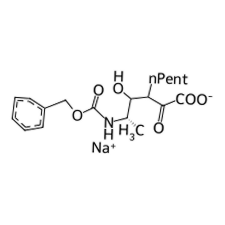 CCCCCC(C(=O)C(=O)[O-])C(O)[C@H](C)NC(=O)OCc1ccccc1.[Na+]